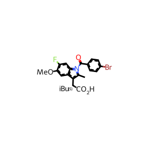 CC[C@H](C)C(C(=O)O)c1c(C)n(C(=O)c2ccc(Br)cc2)c2cc(F)c(OC)cc12